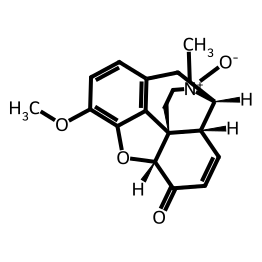 COc1ccc2c3c1O[C@H]1C(=O)C=C[C@H]4[C@@H](C2)[N+](C)([O-])CC[C@]314